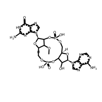 COC1C2OP(=O)(O)OC[C@H]3O[C@@H](n4cnc5c(N)ncnc54)C(O)C3OP(=O)(O)OC[C@H]1O[C@H]2n1cnc2c(=O)[nH]c(N)nc21